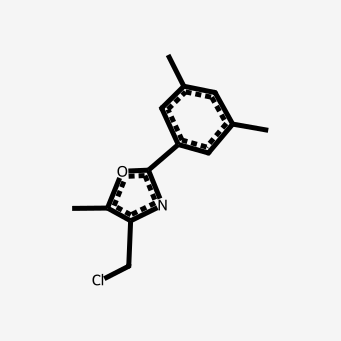 Cc1cc(C)cc(-c2nc(CCl)c(C)o2)c1